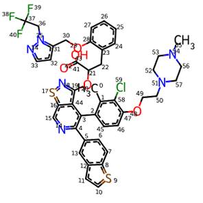 Cc1c(-c2c(-c3ccc4sccc4c3)ncc3snc(OC(Cc4ccccc4OCc4ccnn4CC(F)(F)F)C(=O)O)c23)ccc(OCCN2CCN(C)CC2)c1Cl